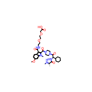 CN[C@@H](C)C(=O)NC(C(=O)N1CCN(C(=O)c2c(C(=O)NCCOCCOCC(=O)O)c3ccc(OC)cc3n2C)CC1)C1CCCCC1